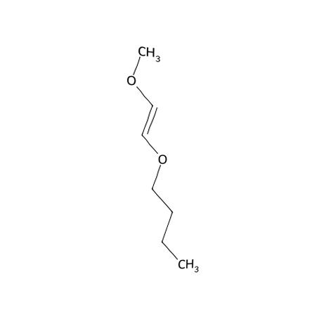 CCCCOC=COC